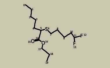 CCCCCC(SCCCCC(F)F)C(=O)OCCC